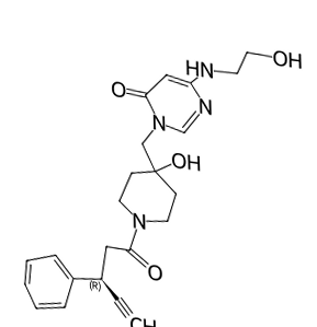 C#C[C@H](CC(=O)N1CCC(O)(Cn2cnc(NCCO)cc2=O)CC1)c1ccccc1